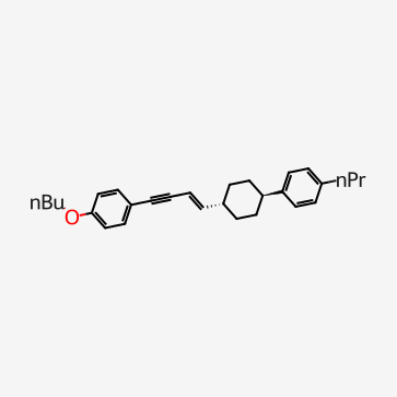 CCCCOc1ccc(C#C/C=C/[C@H]2CC[C@H](c3ccc(CCC)cc3)CC2)cc1